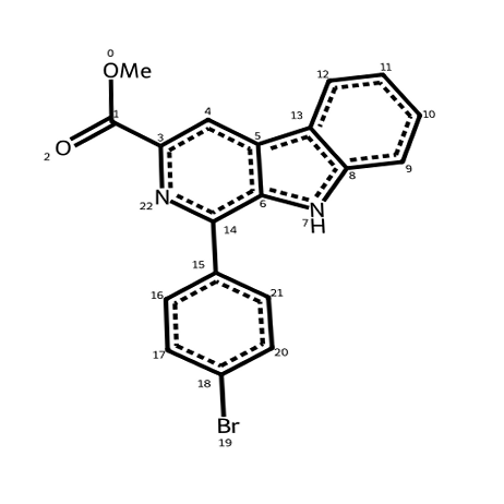 COC(=O)c1cc2c([nH]c3ccccc32)c(-c2ccc(Br)cc2)n1